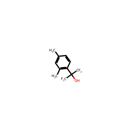 Cc1ccc(C(O)(C(F)(F)F)C(F)(F)F)c(C)c1